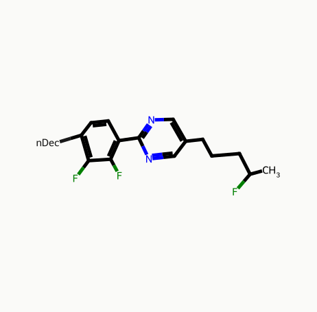 CCCCCCCCCCc1ccc(-c2ncc(CCCC(C)F)cn2)c(F)c1F